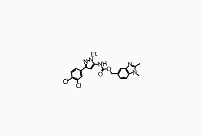 CCn1nc(-c2ccc(Cl)c(Cl)c2)cc1NC(=O)OCc1ccc2c(c1)nc(C)n2C